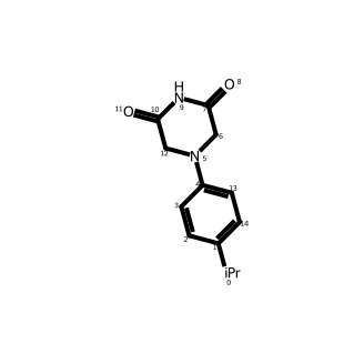 CC(C)c1ccc(N2CC(=O)NC(=O)C2)cc1